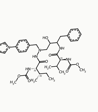 CC[C@H](C)[C@H](NC(=O)OC)C(=O)NN(Cc1ccc(-n2cnnc2)cc1)CC(O)C(Cc1ccccc1)NC(=O)[C@@H](NC(=O)OC)C(C)C